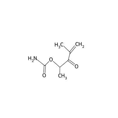 C=C(C)C(=O)C(C)OC(N)=O